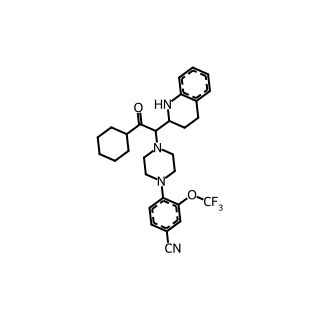 N#Cc1ccc(N2CCN(C(C(=O)C3CCCCC3)C3CCc4ccccc4N3)CC2)c(OC(F)(F)F)c1